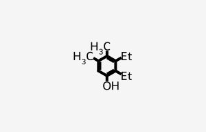 CCc1c(O)cc(C)c(C)c1CC